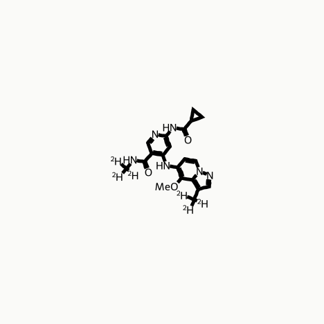 [2H]C([2H])([2H])NC(=O)c1cnc(NC(=O)C2CC2)cc1Nc1ccn2ncc(C([2H])([2H])[2H])c2c1OC